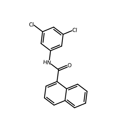 O=C(Nc1cc(Cl)cc(Cl)c1)c1cccc2ccccc12